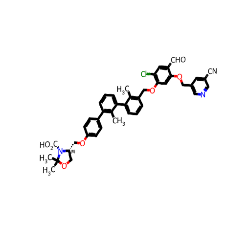 Cc1c(COc2cc(OCc3cncc(C#N)c3)c(C=O)cc2Cl)cccc1-c1cccc(-c2ccc(OC[C@@H]3COC(C)(C)N3C(=O)O)cc2)c1C